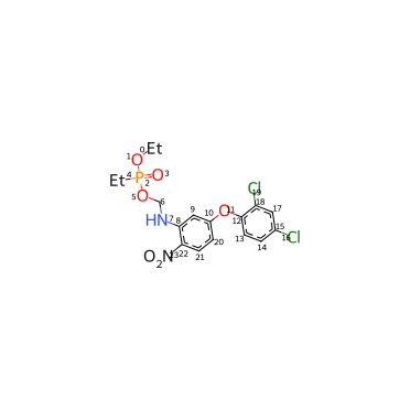 CCOP(=O)(CC)OCNc1cc(Oc2ccc(Cl)cc2Cl)ccc1[N+](=O)[O-]